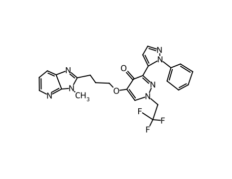 Cn1c(CCCOc2cn(CC(F)(F)F)nc(-c3ccnn3-c3ccccc3)c2=O)nc2cccnc21